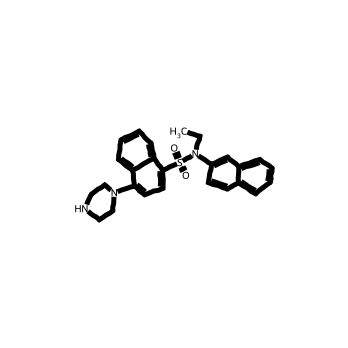 CCN(c1ccc2ccccc2c1)S(=O)(=O)c1ccc(N2CCNCC2)c2ccccc12